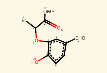 CCC(Oc1cc(C=O)ccc1O)C(=O)OC